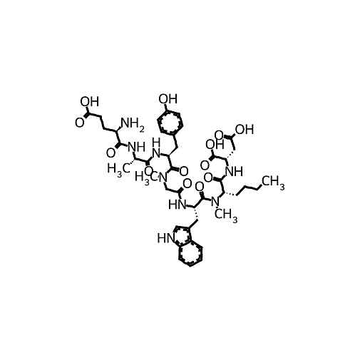 CCCC[C@@H](C(=O)N[C@@H](CC(=O)O)C(=O)O)N(C)C(=O)[C@H](Cc1c[nH]c2ccccc12)NC(=O)CN(C)C(=O)[C@H](Cc1ccc(O)cc1)NC(=O)[C@H](C)NC(=O)[C@H](N)CCC(=O)O